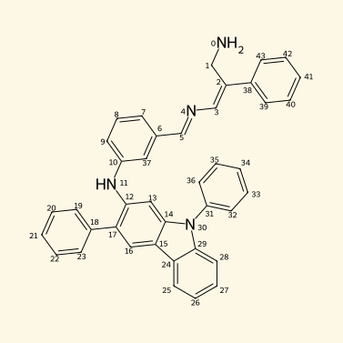 NC/C(=C\N=C\c1cccc(Nc2cc3c(cc2-c2ccccc2)c2ccccc2n3-c2ccccc2)c1)c1ccccc1